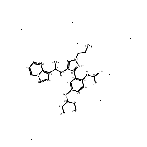 OCCn1cc(NC(O)c2cnn3cccnc23)c(-c2cc(SC(CF)CF)ccc2OC(F)F)n1